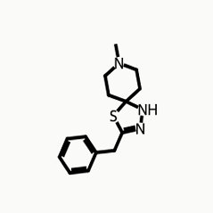 CN1CCC2(CC1)NN=C(Cc1ccccc1)S2